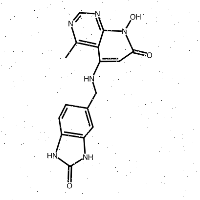 Cc1ncnc2c1c(NCc1ccc3[nH]c(=O)[nH]c3c1)cc(=O)n2O